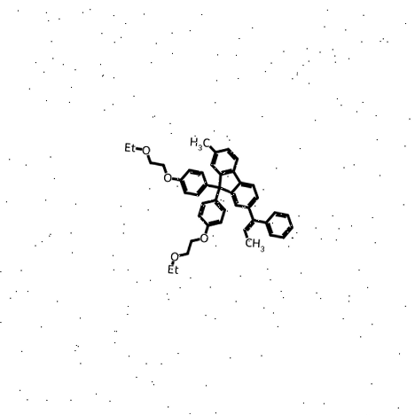 CC=C(c1ccccc1)c1ccc2c(c1)C(c1ccc(OCCOCC)cc1)(c1ccc(OCCOCC)cc1)c1cc(C)ccc1-2